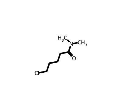 CN(C)C(=O)CCCCCl